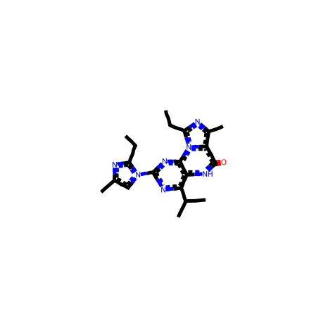 CCc1nc(C)cn1-c1nc(C(C)C)c2[nH]c(=O)c3c(C)nc(CC)n3c2n1